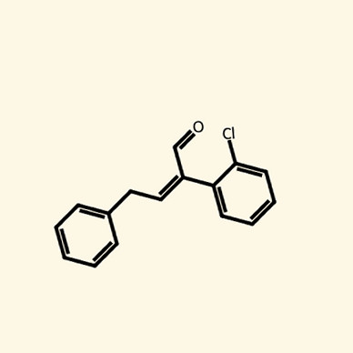 O=CC(=CCc1ccccc1)c1ccccc1Cl